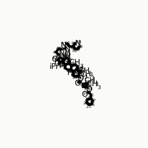 CC(C)C1=C2[C@H]3CC[C@@H]4[C@@]5(C)CC[C@H](OC(=O)[C@H]6C[C@@H](OC(=O)Cc7ccccc7)C6(C)C)C(C)(C)[C@@H]5CC[C@@]4(C)[C@]3(C)CC[C@@]2(C(=O)N2CCC[C@H]2c2ncc(-c3cccnc3)[nH]2)CC1=O